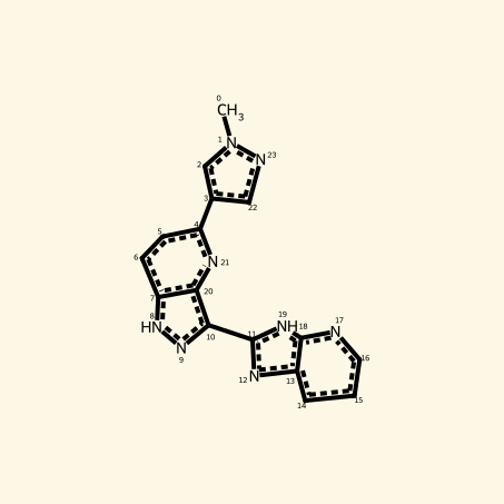 Cn1cc(-c2ccc3[nH]nc(-c4nc5cccnc5[nH]4)c3n2)cn1